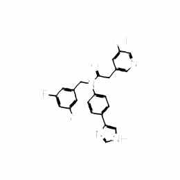 Cc1cncc(CC(=O)N(Cc2cc(F)cc(Cl)c2)c2ccc(-c3c[nH]cn3)cc2)c1